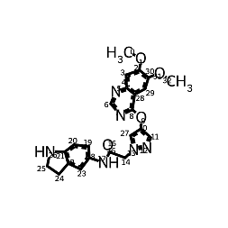 COc1cc2ncnc(Oc3cnn(CC(=O)Nc4ccc5c(c4)CCN5)c3)c2cc1OC